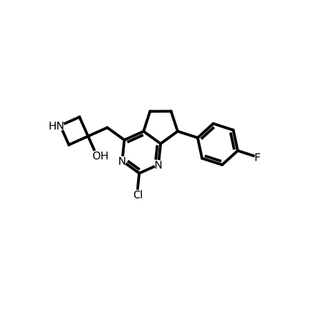 OC1(Cc2nc(Cl)nc3c2CCC3c2ccc(F)cc2)CNC1